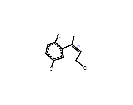 C/C(=C/CCl)c1cc(Cl)ccc1Cl